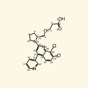 O=C(O)CCOC[C@@H]1CCCN1c1cc(-c2cccnc2)c2ccc(Cl)c(Cl)c2n1